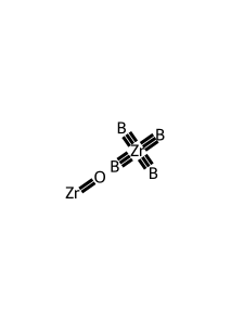 [B]#[Zr](#[B])(#[B])#[B].[O]=[Zr]